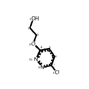 OCCOc1ccc(Cl)nn1